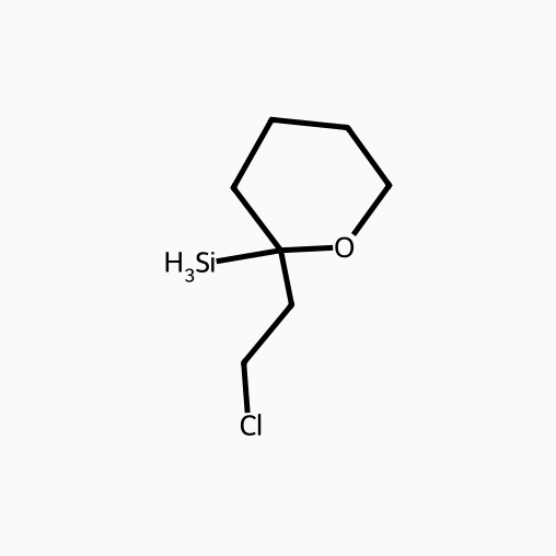 [SiH3]C1(CCCl)CCCCO1